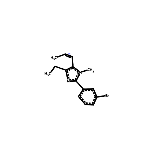 C/C=C\c1c(CC)nc(-c2cccc(Br)c2)n1C